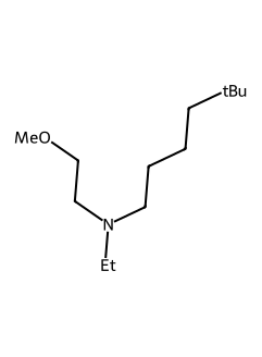 CCN(CCCCC(C)(C)C)CCOC